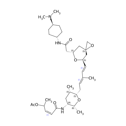 CC(=O)OC(C)/C=C\C(=O)N[C@@H]1C[C@H](C)[C@H](C/C=C(C)/C=C/[C@@H]2C[C@]3(CO3)C[C@@H](CC(=O)N[C@H]3CC[C@H](N(C)C)CC3)O2)O[C@@H]1C